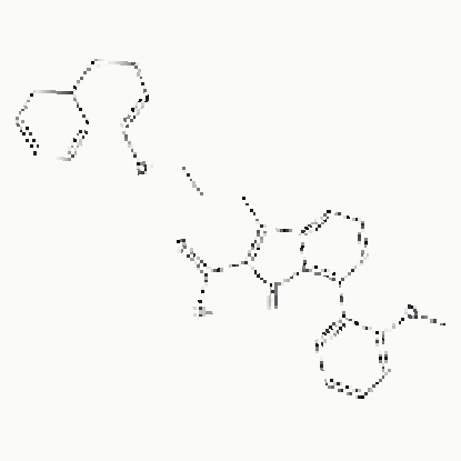 COc1ccccc1-c1cccc2c(CCCOc3cccc4ccccc34)c(C(=O)O)[nH]c12